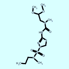 CCCN(C)S(=O)(=O)N1CSC(NC(=O)N(C)CC(OC)OC)=N1